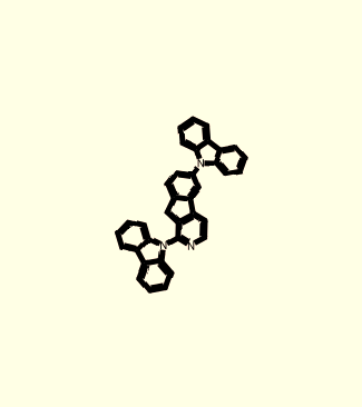 c1ccc2c(c1)c1ccccc1n2-c1ccc2c(c1)-c1ccnc(-n3c4ccccc4c4ccccc43)c1C2